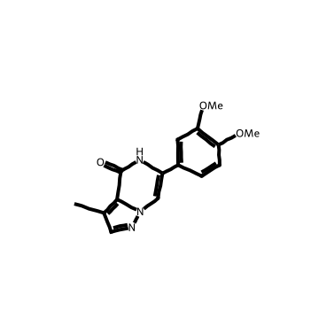 COc1ccc(-c2cn3ncc(C)c3c(=O)[nH]2)cc1OC